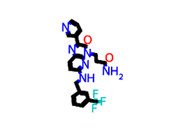 NC(=O)CCn1c(=O)c(-c2cccnc2)nc2ccc(NCc3cccc(C(F)(F)F)c3)nc21